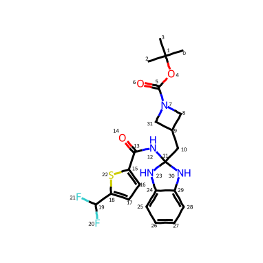 CC(C)(C)OC(=O)N1CC(CC2(NC(=O)c3ccc(C(F)F)s3)Nc3ccccc3N2)C1